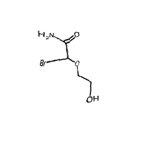 NC(=O)C(Br)OCCO